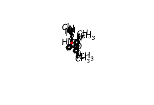 CCN(CC)c1ccc2c(-c3ccccc3C(=O)NCCSc3nnc(Cl)nn3)c3ccc(=[N+](CC)CC)cc-3oc2c1